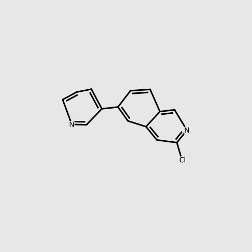 Clc1cc2cc(-c3cccnc3)ccc2cn1